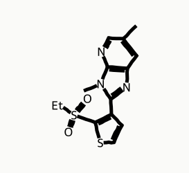 CCS(=O)(=O)c1sccc1-c1nc2cc(C)cnc2n1C